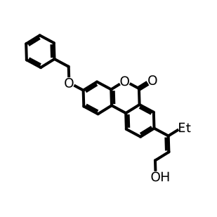 CC/C(=C/CO)c1ccc2c(c1)c(=O)oc1cc(OCc3ccccc3)ccc12